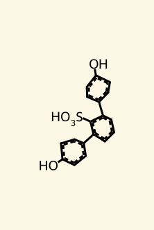 O=S(=O)(O)c1c(-c2ccc(O)cc2)cccc1-c1ccc(O)cc1